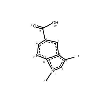 Cn1cc(I)c2cc(C(=O)O)cnc21